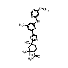 COc1cc(Nc2cc(C)cc(-c3cnc([C@]4(O)CC[C@@H](C(N)=O)C(C)(C)C4)s3)n2)ncn1